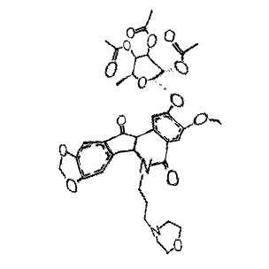 COc1cc2c(cc1O[C@@H]1O[C@@H](C)[C@@H](OC(C)=O)[C@@H](OC(C)=O)[C@@H]1OC(C)=O)C1C(=O)c3cc4c(cc3C1N(CCCN1CCOCC1)C2=O)OCO4